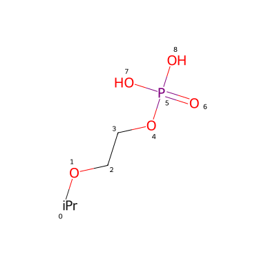 CC(C)OCCOP(=O)(O)O